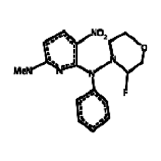 CNc1ccc([N+](=O)[O-])c(N(c2ccccc2)N2CCOCC2F)n1